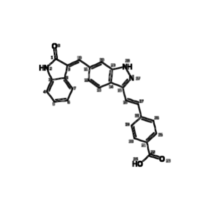 O=C1Nc2ccccc2/C1=C\c1ccc2c(C=Cc3ccc(C(=O)O)cc3)n[nH]c2c1